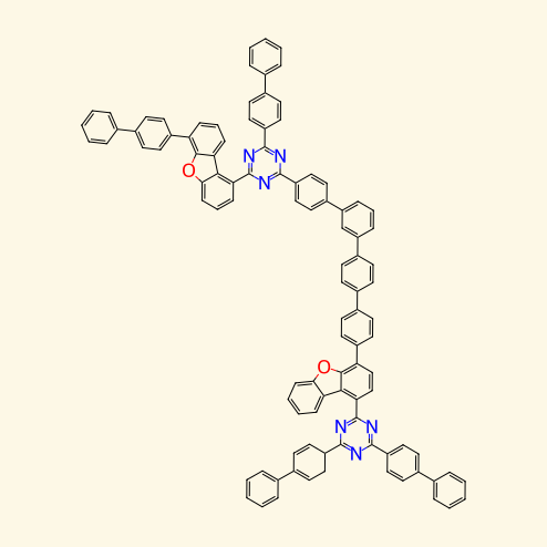 C1=CC(c2nc(-c3ccc(-c4ccccc4)cc3)nc(-c3ccc(-c4ccc(-c5ccc(-c6cccc(-c7ccc(-c8nc(-c9ccc(-c%10ccccc%10)cc9)nc(-c9cccc%10oc%11c(-c%12ccc(-c%13ccccc%13)cc%12)cccc%11c9%10)n8)cc7)c6)cc5)cc4)c4oc5ccccc5c34)n2)CC=C1c1ccccc1